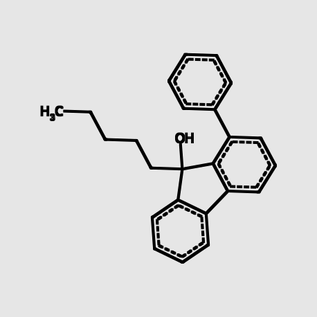 CCCCCC1(O)c2ccccc2-c2cccc(-c3ccccc3)c21